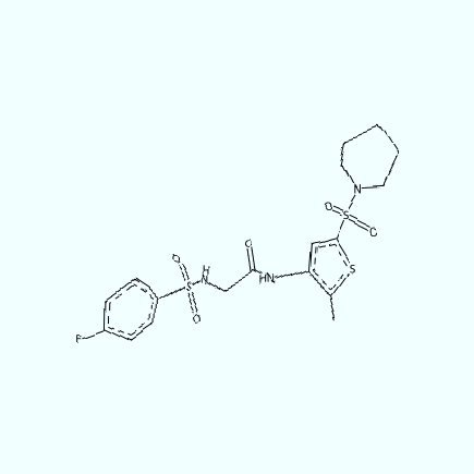 Cc1sc(S(=O)(=O)N2CCCCC2)cc1NC(=O)CNS(=O)(=O)c1ccc(F)cc1